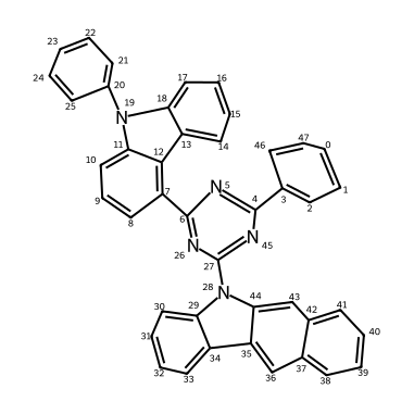 c1ccc(-c2nc(-c3cccc4c3c3ccccc3n4-c3ccccc3)nc(-n3c4ccccc4c4cc5ccccc5cc43)n2)cc1